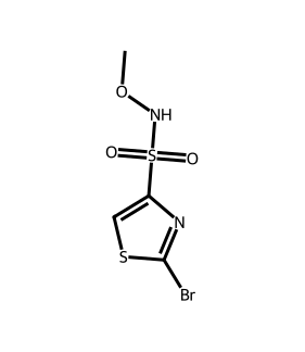 CONS(=O)(=O)c1csc(Br)n1